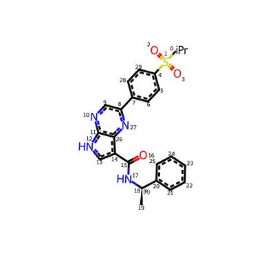 CC(C)S(=O)(=O)c1ccc(-c2cnc3[nH]cc(C(=O)N[C@H](C)c4ccccc4)c3n2)cc1